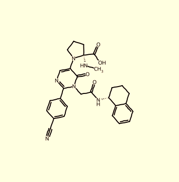 CN[C@@]1(C(=O)O)CCCN1c1cnc(-c2ccc(C#N)cc2)n(CC(=O)N[C@@H]2CCCc3ccccc32)c1=O